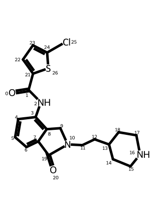 O=C(Nc1cccc2c1CN(CCC1CCNCC1)C2=O)c1ccc(Cl)s1